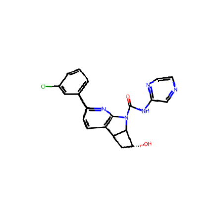 O=C(Nc1cnccn1)N1c2nc(-c3cccc(Cl)c3)ccc2C2C[C@@H](O)C21